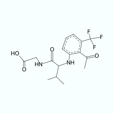 CC(=O)c1c(NC(C(=O)NCC(=O)O)C(C)C)cccc1C(F)(F)F